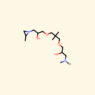 CCN(C)CC(O)COCC(C)(C)COCC(O)CN1CC1C